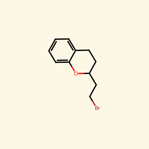 BrCCC1CCc2ccccc2O1